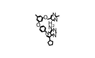 Cc1cc(OCc2cnc(C)nc2)cc(Oc2ccc(-n3cc(C4CCCC4)c4ncnc(N)c43)cc2)c1